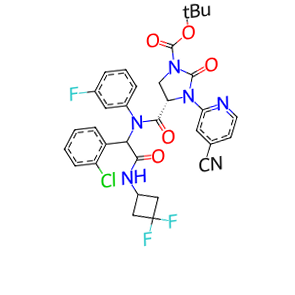 CC(C)(C)OC(=O)N1C[C@@H](C(=O)N(c2cccc(F)c2)C(C(=O)NC2CC(F)(F)C2)c2ccccc2Cl)N(c2cc(C#N)ccn2)C1=O